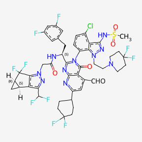 CS(=O)(=O)Nc1nn(CCN2CCC(F)(F)CC2)c2c(-n3c([C@H](Cc4cc(F)cc(F)c4)NC(=O)Cn4nc(C(F)F)c5c4C(F)(F)[C@@H]4C[C@H]54)nc4nc(C5CCC(F)(F)CC5)cc(C=O)c4c3=O)ccc(Cl)c12